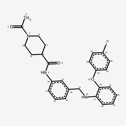 CC(=O)N1CCC(C(=O)Nc2cccc(CNc3ccccc3Oc3ccc(I)cc3)c2)CC1